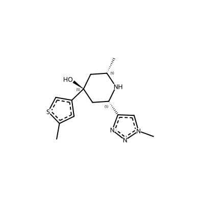 Cc1cc([C@@]2(O)C[C@@H](c3cn(C)nn3)N[C@@H](C)C2)cs1